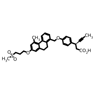 CC#C[C@@H](CC(=O)O)c1ccc(OCc2cccc3c2CCc2cc(OCCCS(C)(=O)=O)cc(C)c2-3)cc1